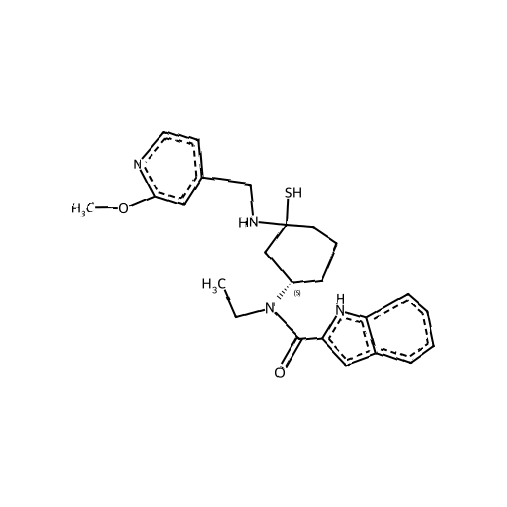 CCN(C(=O)c1cc2ccccc2[nH]1)[C@H]1CCCC(S)(NCc2ccnc(OC)c2)C1